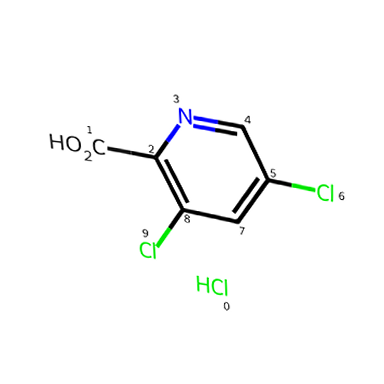 Cl.O=C(O)c1ncc(Cl)cc1Cl